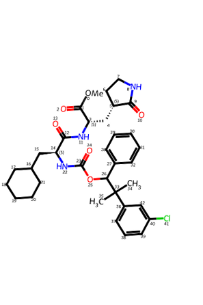 COC(=O)[C@H](C[C@@H]1CCNC1=O)NC(=O)[C@H](CC1CCCCC1)NC(=O)OC(c1ccccc1)C(C)(C)c1cccc(Cl)c1